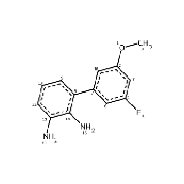 COc1cc(F)cc(-c2cccc(N)c2N)c1